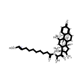 CCCCCCCC/C=C/CCCCCCCC(=O)OC(O)C(=O)[C@@]1(O)C(C)C[C@H]2[C@@H]3CCC4=CC(=O)C=C[C@]4(C)[C@@]3(F)C(O)C[C@@]21C